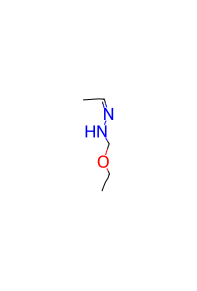 C/C=N\NCOCC